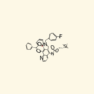 CN(C(=O)OCC[Si](C)(C)C)c1c2c(c(OC(c3ccccc3)c3ccccc3)c3ncccc13)C(=O)N(Cc1ccc(F)cc1)C2